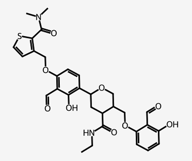 CCNC(=O)C1CC(c2ccc(OCc3ccsc3C(=O)N(C)C)c(C=O)c2O)OCC1COc1cccc(O)c1C=O